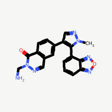 Cn1ncc(-c2ccc3c(=O)n(CN)ncc3c2)c1-c1cccc2nonc12